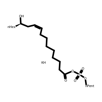 CCCCCC[C@@H](O)C/C=C\CCCCCCCC(=O)OS(=O)(=O)OCCCCC.[KH]